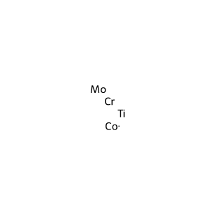 [Co].[Cr].[Mo].[Ti]